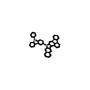 c1ccc(-n2c3ccccc3c3cc(-n4c5cc6ccccc6cc5c5c6cccc7c6c(cc54)-c4ccccc4-7)ccc32)cc1